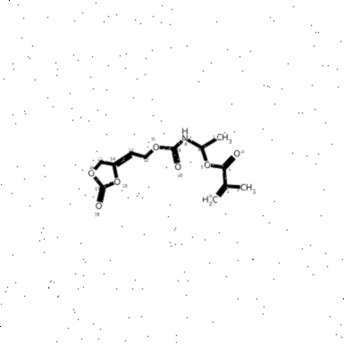 C=C(C)C(=O)OC(C)NC(=O)OCC=C1COC(=O)O1